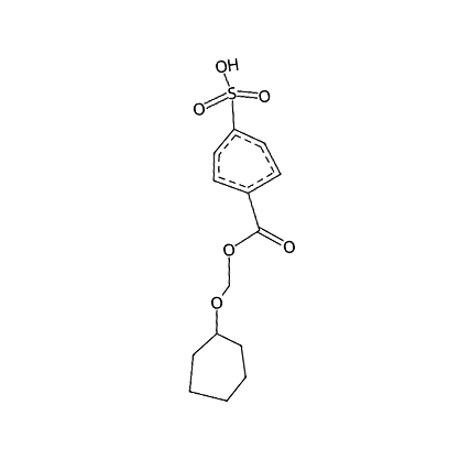 O=C(OCOC1CCCCC1)c1ccc(S(=O)(=O)O)cc1